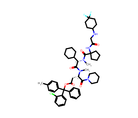 Cc1ccc(C(OC(=O)C[C@@H](C(=O)N2CCCCC2)N(C)C(=O)[C@H](C2CCCCC2)N(C)C(=O)C2(NC(=O)CNC3CCC(F)(F)CC3)CCCC2)(c2ccccc2)c2ccccc2Cl)cc1